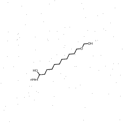 CCCCCCC(O)CCCCCCCCCCOCO